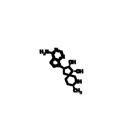 C[C@@H]1CC[C@@]2(CN1)C[C@@H](n1ccc3c(N)ncnc31)[C@H](O)[C@@H]2O